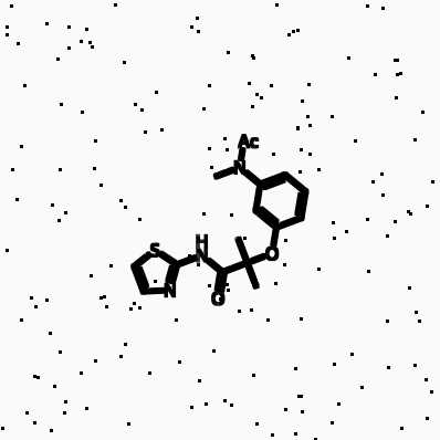 CC(=O)N(C)c1cccc(OC(C)(C)C(=O)Nc2nccs2)c1